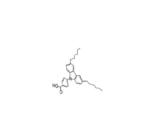 CCCCCCc1ccc2c(c1)c1cc(CCCCCC)ccc1n2-c1ccc(C(=O)O)cc1